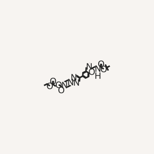 CCOC(=O)COC(=O)N1CCN(c2ncc(-c3cccc(CN(C)C(=O)CNC(=O)OC(C)(C)C)c3)cn2)CC1